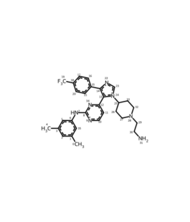 Cc1cc(C)cc(Nc2nccc(-c3c(-c4ccc(C(F)(F)F)cc4)ncn3C3CCN(CCN)CC3)n2)c1